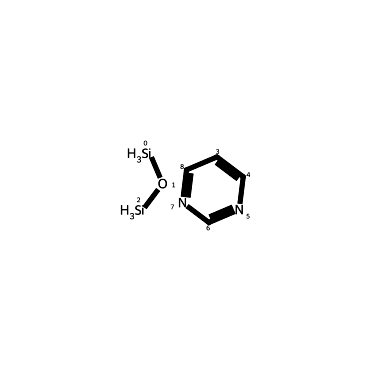 [SiH3]O[SiH3].c1cncnc1